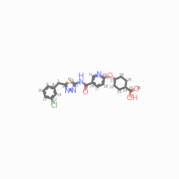 O=C(Nc1nnc(Cc2cccc(Cl)c2)s1)c1ccc(OC2CCC(C(=O)O)CC2)nc1